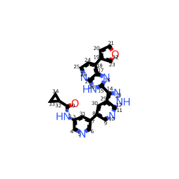 O=C(Nc1cncc(-c2cnc3[nH]nc(-c4nc5c(-c6ccoc6)ccnc5[nH]4)c3c2)c1)C1CC1